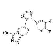 CC(C)(C)c1nnc2ccc(-c3ocnc3-c3ccc(F)c(F)c3)cn12